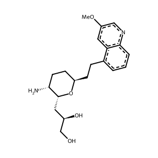 COc1cnc2cccc(CC[C@@H]3CC[C@@H](N)[C@@H](C[C@@H](O)CO)O3)c2c1